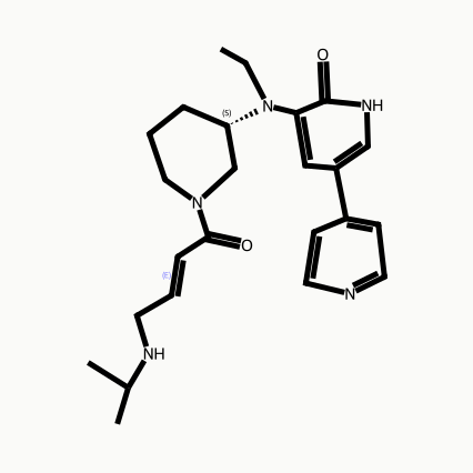 CCN(c1cc(-c2ccncc2)c[nH]c1=O)[C@H]1CCCN(C(=O)/C=C/CNC(C)C)C1